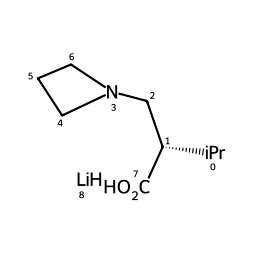 CC(C)[C@@H](CN1CCC1)C(=O)O.[LiH]